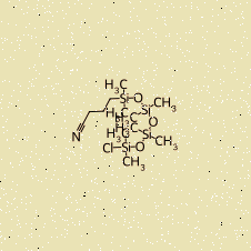 C[Si](C)(Cl)O[Si](C)(C)O[Si](C)(C)O[Si](C)(C)CCCC#N